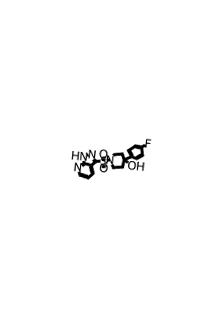 O=S(=O)(c1n[nH]c2ncccc12)N1CCC(O)(c2ccc(F)cc2)CC1